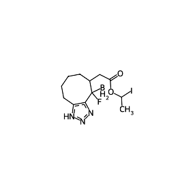 BC1(F)c2nn[nH]c2CCCCC1CC(=O)OC(C)I